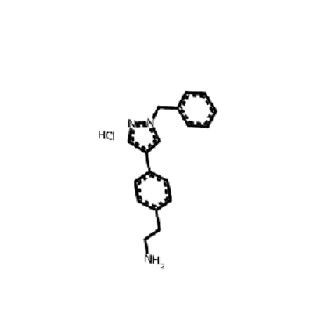 Cl.NCCc1ccc(-c2cnn(Cc3ccccc3)c2)cc1